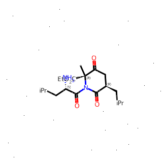 CCOC(=O)[C@@]1(C)C(=O)C[C@@H](CC(C)C)C(=O)N1C(=O)[C@@H](N)CC(C)C